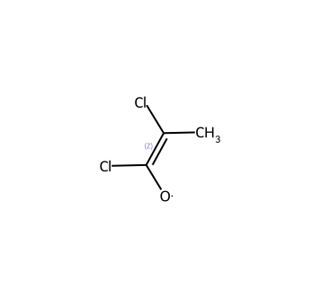 C/C(Cl)=C(\[O])Cl